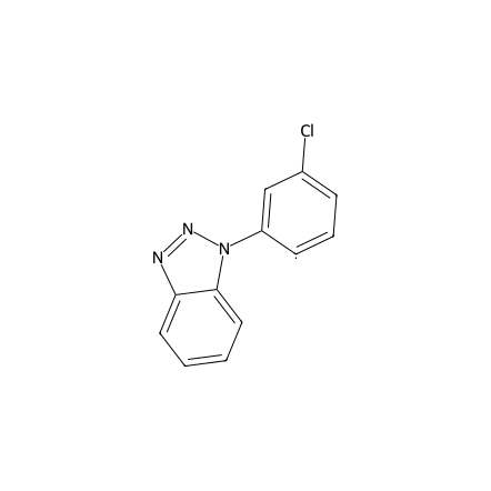 Clc1cc[c]c(-n2nnc3ccccc32)c1